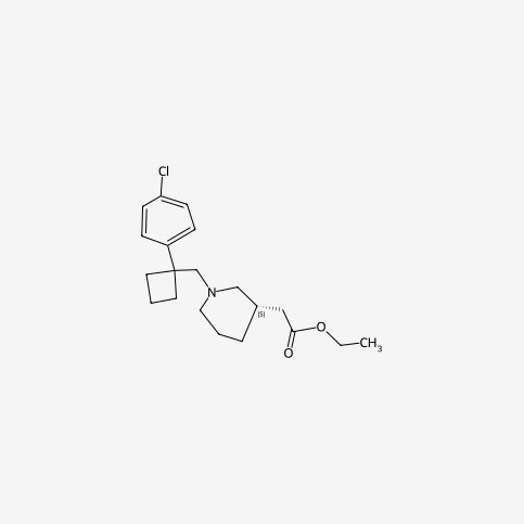 CCOC(=O)C[C@@H]1CCCN(CC2(c3ccc(Cl)cc3)CCC2)C1